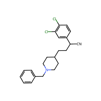 N#CC(CCC1CCN(Cc2ccccc2)CC1)c1ccc(Cl)c(Cl)c1